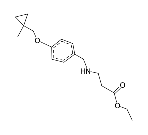 CCOC(=O)CCNCc1ccc(OCC2(C)CC2)cc1